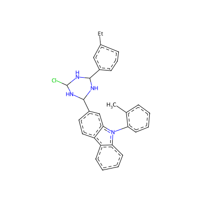 CCc1cccc(C2NC(Cl)NC(c3ccc4c5ccccc5n(-c5ccccc5C)c4c3)N2)c1